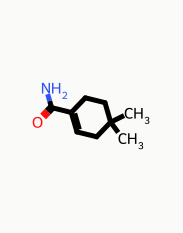 CC1(C)CC=C(C(N)=O)CC1